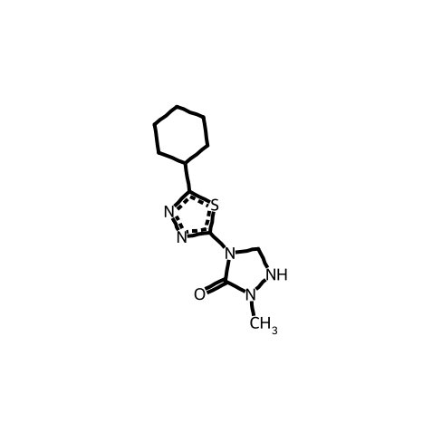 CN1NCN(c2nnc(C3CCCCC3)s2)C1=O